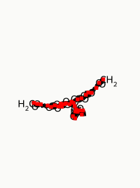 C=CC(=O)OCCCCCCOc1ccc(OC(=O)C2CCC(C(=O)Oc3ccc(OC(=O)[C@H]4CC[C@H](C(=O)Oc5ccc(OCCCCCCOC(=O)C=C)cc5)CC4)cc3/C=N/N(CS(=O)(=O)c3ccccc3)c3nc4ccccc4s3)CC2)cc1